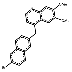 COc1cc2nccc(Cc3ccc4cc(Br)ccc4c3)c2cc1OC